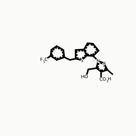 Cc1nn(-c2cccc3cc(Cc4cccc(C(F)(F)F)c4)sc23)c(CO)c1C(=O)O